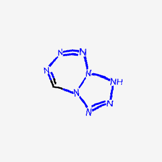 C1=NN=NN2NN=NN12